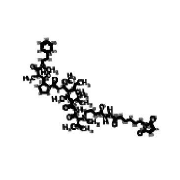 CC[C@H](C)[C@@H]([C@@H](CC(=O)N1CCC[C@H]1[C@H](OC)[C@@H](C)C(=O)NCCc1ccccc1)OC)N(C)[C@H](C(=O)NC(=O)[C@H](C(C)C)N(C)CCCC(=O)NNC(=O)CCCCCN1C(=O)C=CC1=O)C(C)C